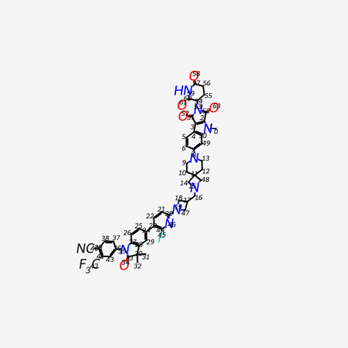 Cn1c2c(c3ccc(N4CCC5(CC4)CN(CC4CN(c6ccc(-c7ccc8c(c7)C(C)(C)C(=O)N8c7ccc(C#N)c(C(F)(F)F)c7)c(F)n6)C4)C5)cc31)C(=O)N(C1CCC(=O)NC1=O)C2=O